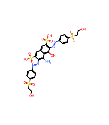 Nc1c(/N=N/c2ccc(S(=O)(=O)CCO)cc2)c(S(=O)(=O)O)cc2cc(S(=O)(=O)O)c(/N=N/c3ccc(S(=O)(=O)CCO)cc3)c(O)c12